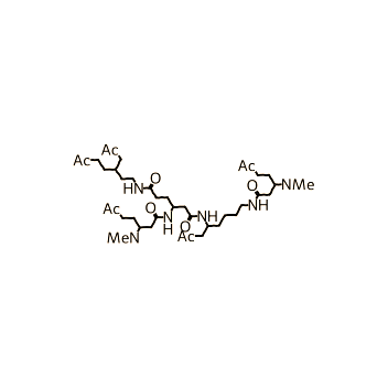 CNC(CCC(C)=O)CC(=O)NCCCCC(CC(C)=O)NC(=O)CC(CCC(=O)NCCC(CCC(C)=O)CC(C)=O)NC(=O)CC(CCC(C)=O)NC